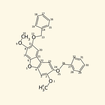 COc1cc2oc3cc(OC)c(OCc4ccccc4)cc3c2cc1OCc1ccccc1